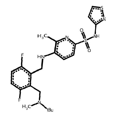 Cc1nc(S(=O)(=O)Nc2ccsn2)ccc1NCc1c(F)ccc(F)c1CN(C)C(C)(C)C